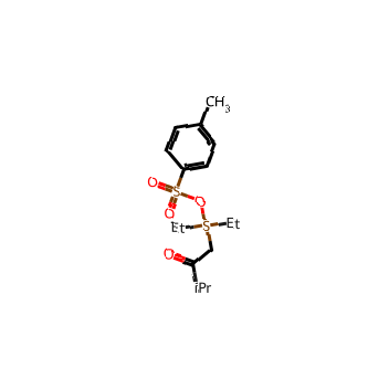 CCS(CC)(CC(=O)C(C)C)OS(=O)(=O)c1ccc(C)cc1